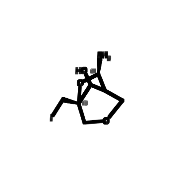 B[C@@H]1O[C@@]2(CI)COCC1C2O